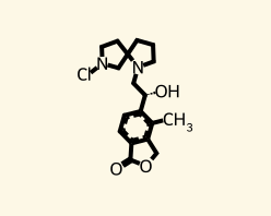 Cc1c([C@@H](O)CN2CCCC23CCN(Cl)C3)ccc2c1COC2=O